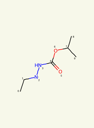 CC[N]NC(=O)OC(C)C